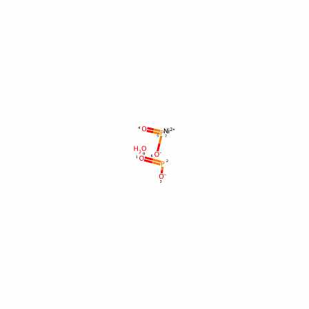 O.O=P[O-].O=P[O-].[Ni+2]